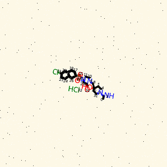 CC(=N)N1CCC(O)(CN2CCN(S(=O)(=O)c3ccc4cc(Cl)ccc4c3)CC2=O)CC1.Cl